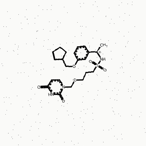 C[C@@H](NS(=O)(=O)CCCOCn1ccc(=O)[nH]c1=O)c1cccc(OCC2CCCC2)c1